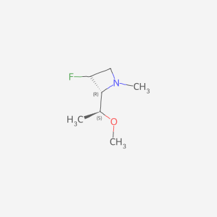 CO[C@@H](C)[C@@H]1C(F)CN1C